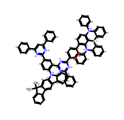 CC1(C)c2ccccc2-c2cc3c4ccccc4n(-c4ccc(-c5nc(-c6ccccc6)cc(-c6ccccc6)n5)cc4-c4nc(-c5ccccc5)nc(-c5ccc(-c6ccc7c8c6N(c6ccccc6)c6ccccc6B8c6ccccc6N7c6ccccc6)cc5)n4)c3cc21